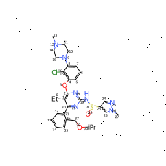 CCc1c(Oc2cccc(N3CCN(C)CC3)c2Cl)nc(N[S+]([O-])c2cnn(C)c2)nc1-c1ccccc1COC(C)C